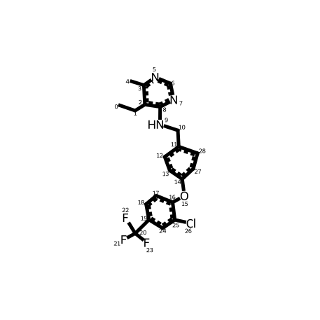 CCc1c(C)ncnc1NCc1ccc(Oc2ccc(C(F)(F)F)cc2Cl)cc1